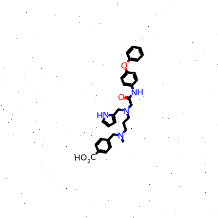 CN(CCCN(CC(=O)Nc1ccc(Oc2ccccc2)cc1)Cc1ccc[nH]1)Cc1ccc(C(=O)O)cc1